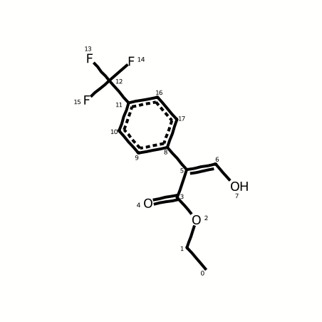 CCOC(=O)/C(=C\O)c1ccc(C(F)(F)F)cc1